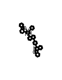 C1=CC2Oc3nc(-c4ccc(-c5cccc6c(-c7nc(-c8ccccc8)nc(C8CC=Cc9c8oc8ccccc98)n7)cccc56)cc4)c4ccccc4c3C2C=C1